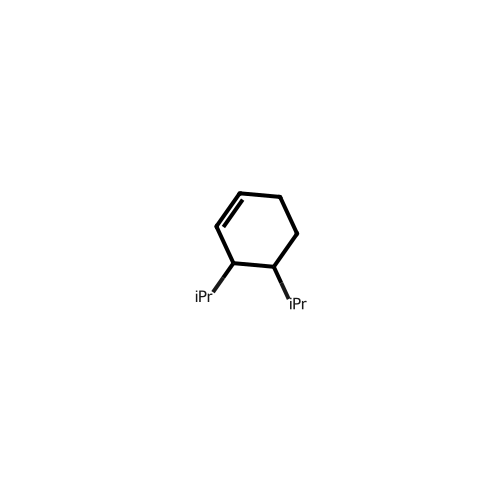 CC(C)C1C=CCCC1C(C)C